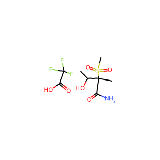 CC(O)C(C)(C(N)=O)S(C)(=O)=O.O=C(O)C(F)(F)F